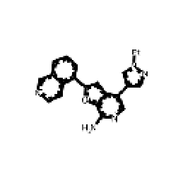 CCn1cc(-c2cnc(N)c3oc(-c4cccc5cnccc45)cc23)cn1